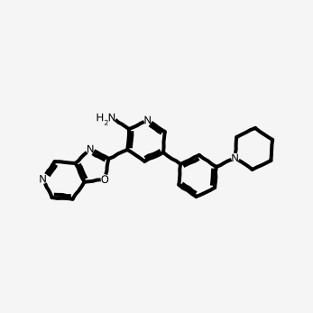 Nc1ncc(-c2cccc(N3CCCCC3)c2)cc1-c1nc2cnccc2o1